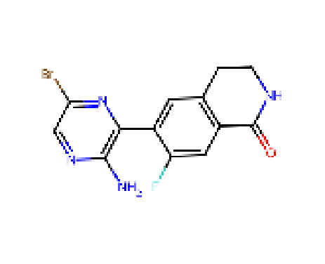 Nc1ncc(Br)nc1-c1cc2c(cc1F)C(=O)NCC2